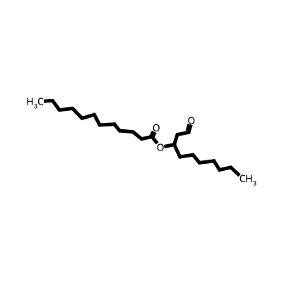 CCCCCCCCCCCC(=O)OC(CC=O)CCCCCCC